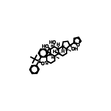 CC(C)(C)[Si](O[C@H]1CC[C@@]2(C)[C@H](C1)[C@@H](O)[C@H](O)[C@@H]1[C@@H]2CC[C@@]2(C)[C@H]1CC[C@@]2(O)c1ccco1)(c1ccccc1)c1ccccc1